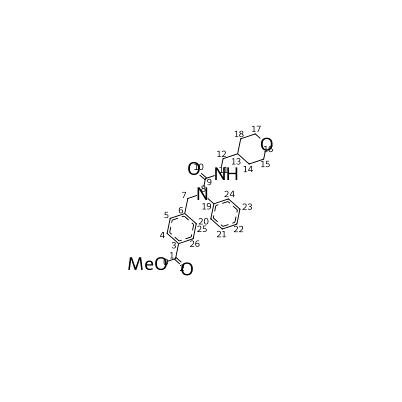 COC(=O)c1ccc(CN(C(=O)NCC2CCOCC2)c2ccccc2)cc1